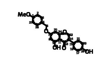 COc1ccc(COc2cc(O)c3c(=O)c(-c4ccc(O)cc4)coc3c2)cc1